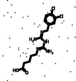 NC(=NCCCCC(=O)O)NC(N)=NCc1ccc(Cl)c(Cl)c1